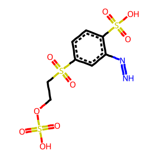 N=Nc1cc(S(=O)(=O)CCOS(=O)(=O)O)ccc1S(=O)(=O)O